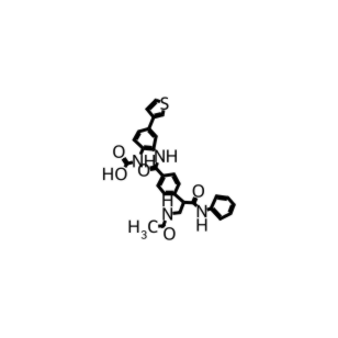 CC(=O)NCC(C(=O)Nc1ccccc1)c1ccc(C(=O)Nc2cc(-c3ccsc3)ccc2NC(=O)O)cc1